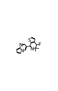 CC1(C)N=C(c2cnc3cccn3c2)c2sccc2C1F